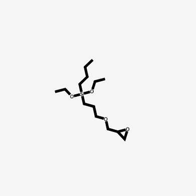 CCCC[Si](CCCOCC1CO1)(OCC)OCC